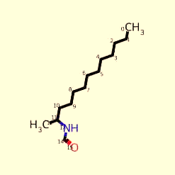 CCCCCCCCCCCC(C)NC=O